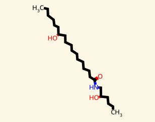 CCCCCCC(O)CCCCCCCCCCC(=O)NCC(O)CCCC